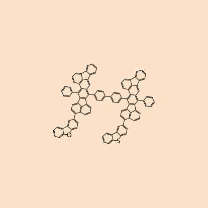 c1ccc(-c2c3cc4c5ccccc5c5cccc(c3c(-c3ccc(-c6ccc(-c7c8cc9c%10ccccc%10c%10cccc(c8c(-c8ccccc8)c8c%11ccc(-c%12ccc%13oc%14ccccc%14c%13c%12)c%12cccc(c78)c%12%11)c%109)cc6)cc3)c3c6ccc(-c7ccc8sc9ccccc9c8c7)c7cccc(c23)c76)c54)cc1